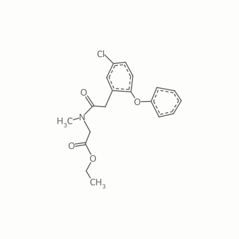 CCOC(=O)CN(C)C(=O)Cc1cc(Cl)ccc1Oc1ccccc1